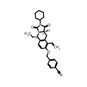 C=Cc1c(OCc2ccc(C#N)cc2)ccc2c1C[C@H]1C(=O)N(C3CCCCC3)C(=O)N1[C@@H]2CC